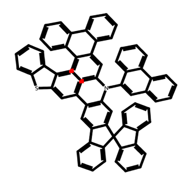 c1ccc2c(c1)-c1ccccc1C21c2ccccc2-c2cc(-c3ccc4c(c3)sc3ccccc34)c(N(c3ccc4c5ccccc5c5ccccc5c4c3)c3cc4ccccc4c4ccccc34)cc21